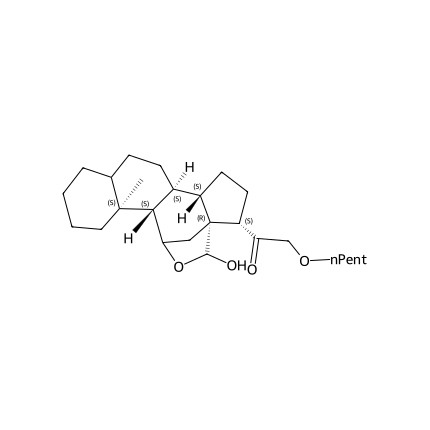 CCCCCOCC(=O)[C@H]1CC[C@H]2[C@@H]3CCC4CCCC[C@]4(C)[C@H]3C3C[C@]12C(O)O3